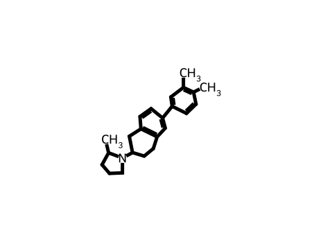 Cc1ccc(-c2ccc3c(c2)CCC(N2CCCC2C)C3)cc1C